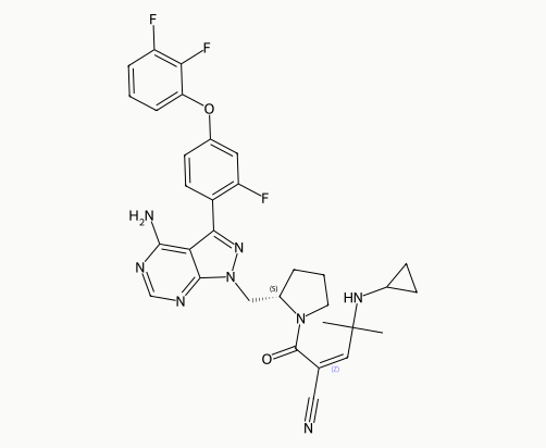 CC(C)(/C=C(/C#N)C(=O)N1CCC[C@H]1Cn1nc(-c2ccc(Oc3cccc(F)c3F)cc2F)c2c(N)ncnc21)NC1CC1